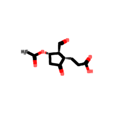 CC(=O)O[C@H]1CC(=O)[C@@H](CCC(=O)O)[C@@H]1C=O